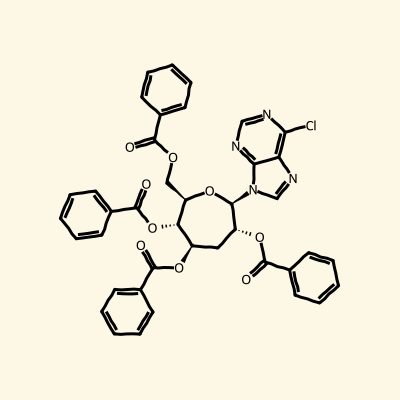 O=C(OC[C@H]1O[C@@H](n2cnc3c(Cl)ncnc32)[C@H](OC(=O)c2ccccc2)C[C@@H](OC(=O)c2ccccc2)[C@@H]1OC(=O)c1ccccc1)c1ccccc1